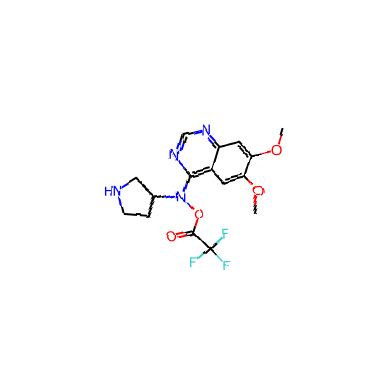 COc1cc2ncnc(N(OC(=O)C(F)(F)F)C3CCNC3)c2cc1OC